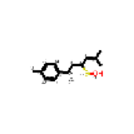 CC(C)=CC(C[C@H](C)c1ccc(C)cc1)SO